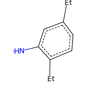 CCc1ccc(CC)c([NH])c1